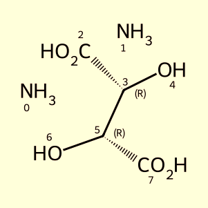 N.N.O=C(O)[C@H](O)[C@@H](O)C(=O)O